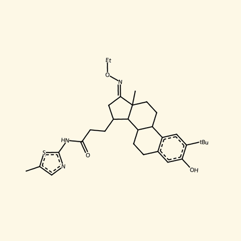 CCO/N=C1\CC(CCC(=O)Nc2ncc(C)s2)C2C3CCc4cc(O)c(C(C)(C)C)cc4C3CCC12C